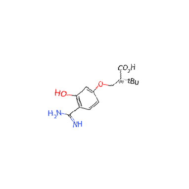 CC(C)(C)[C@H](COc1ccc(C(=N)N)c(O)c1)C(=O)O